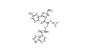 Nc1nc(C(=O)N(CCNC(=O)c2cccc3occc23)CC2CC2)c(-c2cccc(Cl)c2)s1